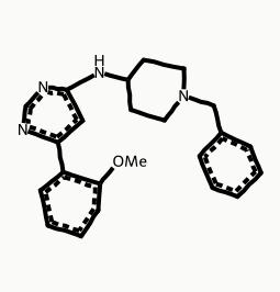 COc1ccccc1-c1cc(NC2CCN(Cc3ccccc3)CC2)ncn1